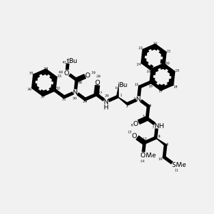 CC[C@H](C)[C@@H](CN(CC(=O)N[C@@H](CCSC)C(=O)OC)Cc1cccc2ccccc12)NC(=O)CN(Cc1ccccc1)C(=O)OC(C)(C)C